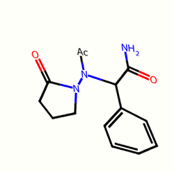 CC(=O)N(C(C(N)=O)c1ccccc1)N1CCCC1=O